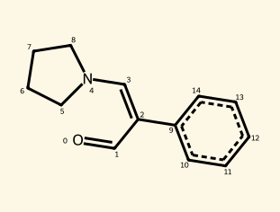 O=CC(=CN1CCCC1)c1ccccc1